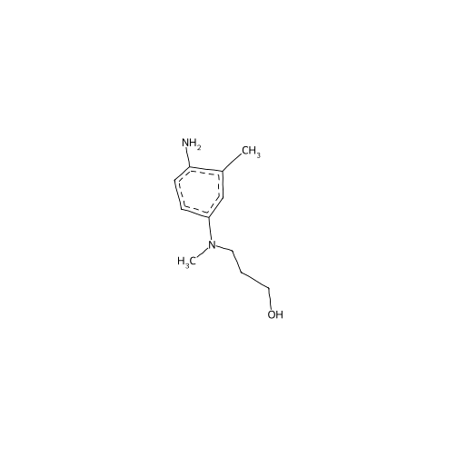 Cc1cc(N(C)CCCO)ccc1N